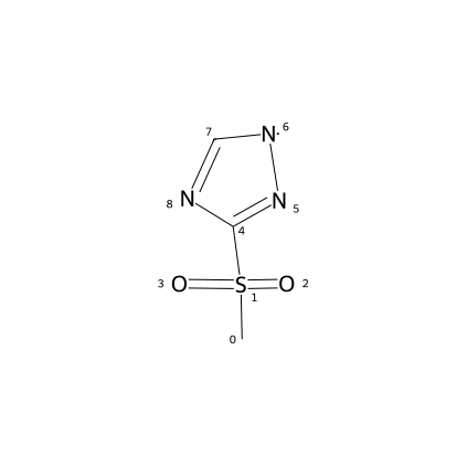 CS(=O)(=O)C1=N[N]C=N1